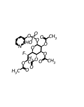 CC(=O)OC[C@H](F)[C@H]1O[C@@H](OP(=O)(O)Oc2cccnc2)[C@@H](OC(C)=O)[C@@H](OC(C)=O)[C@@H]1OC(C)=O